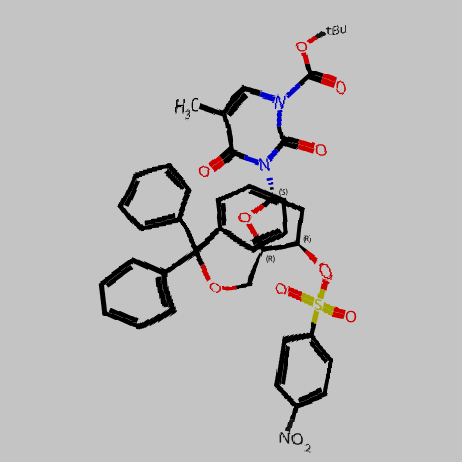 Cc1cn(C(=O)OC(C)(C)C)c(=O)n([C@@H]2C[C@@H](OS(=O)(=O)c3ccc([N+](=O)[O-])cc3)[C@@H](COC(c3ccccc3)(c3ccccc3)c3ccccc3)O2)c1=O